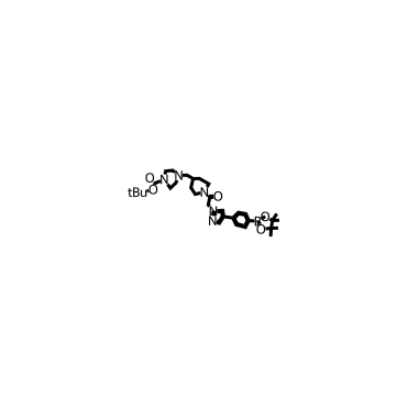 CC(C)(C)OC(=O)N1CCN(CC2CCN(C(=O)Cn3cc(-c4ccc(B5OC(C)(C)C(C)(C)O5)cc4)cn3)CC2)CC1